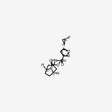 CC(C)(C)OC(=O)N1[C@@H]2CC[C@H]1CC(NC(=O)c1cc([C@@H]3C[C@H]3F)on1)C2